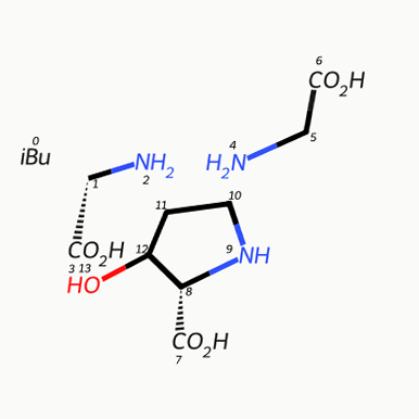 CC[C@H](C)[C@H](N)C(=O)O.NCC(=O)O.O=C(O)[C@H]1NCCC1O